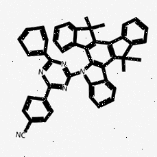 CC1(C)c2ccccc2-c2c1c1c(c3c4ccccc4n(-c4nc(-c5ccccc5)nc(-c5ccc(C#N)cc5)n4)c23)C(C)(C)c2ccccc2-1